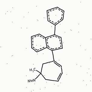 CNC1(C)CC=CC=C(c2ccc(-c3ccccc3)c3ccccc23)C1